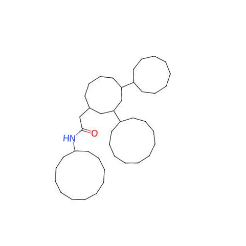 O=C(CC1CCCCC(C2CCCCCCCC2)CC(C2CCCCCCCCCC2)C1)NC1CCCCCCCCCCC1